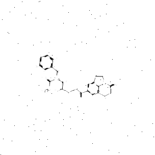 COC(CCC(=O)c1cc2c3c(c1)CCN3C(=O)CC2)CN(Cc1ccccc1)C(=O)OC(C)(C)C